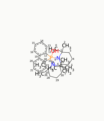 CC1(C)CCCC(C)(C)N1P(O)(c1ccccc1)(c1ccccc1)N1C(C)(C)CCCC1(C)C